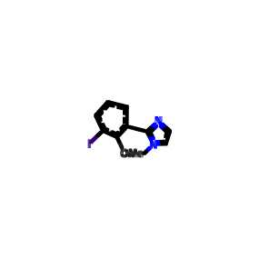 COc1c(I)cccc1-c1nccn1C